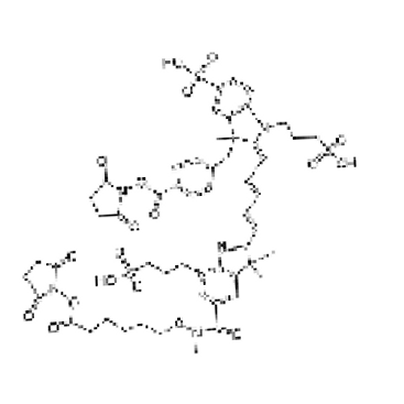 CN(OCCCCCC(=O)ON1C(=O)CCC1=O)C(=O)c1cc2c([n+](CCCS(=O)(=O)O)c1)N=C(/C=C/C=C/C=C1/N(CCCS(=O)(=O)O)c3ccc(S(=O)(=O)O)cc3C1(C)Cc1ccc(C(=O)ON3C(=O)CCC3=O)cc1)C2(C)C